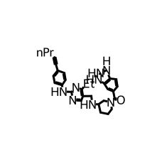 CCCC#Cc1ccc(Nc2ncc(CNC3CCCN(C(=O)c4ccc5c(c4)NNN5)C3)c(CC)n2)cc1